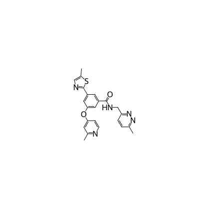 Cc1cc(Oc2cc(C(=O)NCc3ccc(C)nn3)cc(-c3ncc(C)s3)c2)ccn1